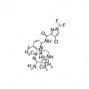 CC1(C)C(N)=N[C@](C)(c2nc(NC(=O)c3nn(C(F)F)cc3Cl)ccc2F)[C@@H]2CCN[SH]21=O